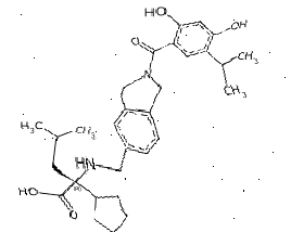 CC(C)C[C@](NCc1ccc2c(c1)CN(C(=O)c1cc(C(C)C)c(O)cc1O)C2)(C(=O)O)C1CCCC1